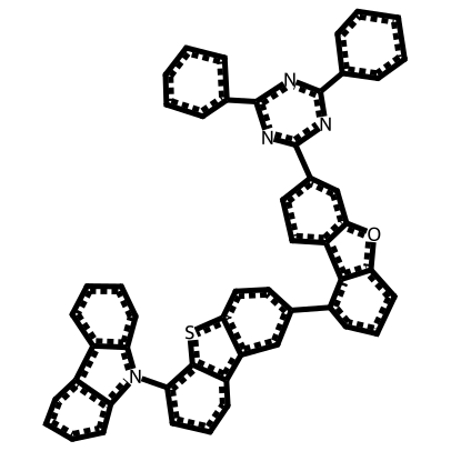 c1ccc(-c2nc(-c3ccccc3)nc(-c3ccc4c(c3)oc3cccc(-c5ccc6sc7c(-n8c9ccccc9c9ccccc98)cccc7c6c5)c34)n2)cc1